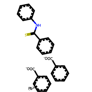 O=C([O-])c1ccccc1.O=C([O-])c1ccccc1.S=C(Nc1ccccc1)c1ccccc1.[Pb+2]